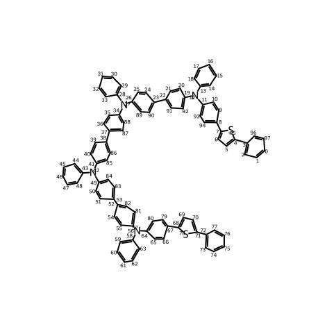 c1ccc(-c2ccc(-c3ccc(N(c4ccccc4)c4ccc(-c5ccc(N(c6ccccc6)c6ccc(-c7ccc(N(c8ccccc8)c8ccc(-c9ccc(N(c%10ccccc%10)c%10ccc(-c%11ccc(-c%12ccccc%12)s%11)cc%10)cc9)cc8)cc7)cc6)cc5)cc4)cc3)s2)cc1